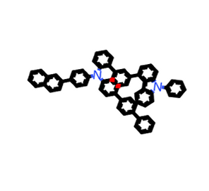 c1ccc(-c2ccc(-c3ccc(N(c4ccc(-c5ccc6ccccc6c5)cc4)c4ccccc4-c4cccc(-c5cccc6c5c5ccccc5n6-c5ccccc5)c4)cc3)cc2)cc1